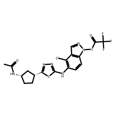 CC(=O)N[C@H]1CC[C@@H](c2nnc(Nc3ccc4c(cnn4OC(=O)C(F)(F)F)c3Cl)s2)C1